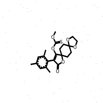 COC(=S)OC1=C(c2c(C)cc(C)cc2C)C(=O)OC12CCC1(CC2)OCCO1